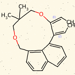 C/C=C1\C(=C/C)OCC(C)(C)COCc2cccc3cccc1c23